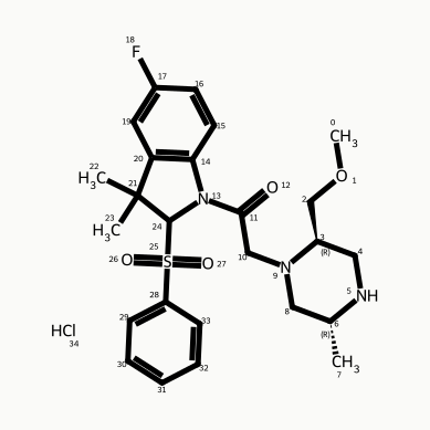 COC[C@H]1CN[C@H](C)CN1CC(=O)N1c2ccc(F)cc2C(C)(C)C1S(=O)(=O)c1ccccc1.Cl